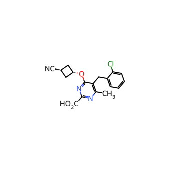 Cc1nc(C(=O)O)nc(O[C@H]2C[C@H](C#N)C2)c1Cc1ccccc1Cl